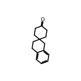 O=C1CCC2(CC1)CCc1ccccc1C2